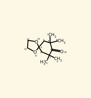 CC1(C)CC2(CC(C)(C)C1=O)OCCO2